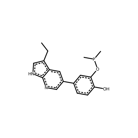 CCc1c[nH]c2ncc(-c3ccc(O)c(OP(C)C)c3)cc12